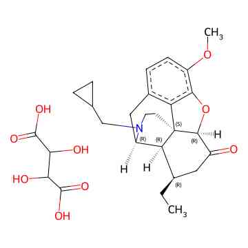 CC[C@@H]1CC(=O)[C@@H]2Oc3c(OC)ccc4c3[C@@]23CCN(CC2CC2)[C@H](C4)[C@H]13.O=C(O)C(O)C(O)C(=O)O